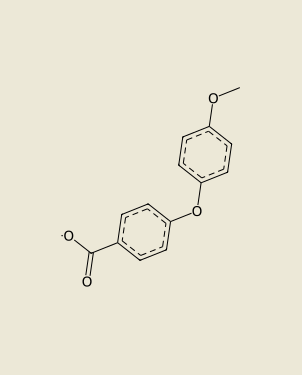 COc1ccc(Oc2ccc(C([O])=O)cc2)cc1